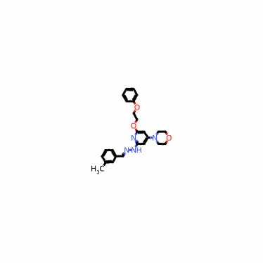 Cc1cccc(/C=N/Nc2cc(N3CCOCC3)cc(OCCOc3ccccc3)n2)c1